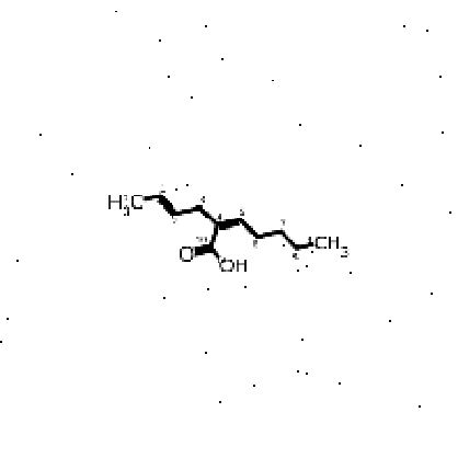 C/C=C/C/C(=C/CCCC)C(=O)O